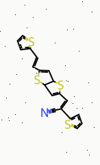 N#C/C(=C\C1=CC2SC(/C=C/c3cccs3)=CC2S1)c1cccs1